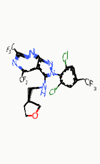 FC(F)(F)c1cc(Cl)c(-n2nc3nc(C(F)(F)F)nc(C(F)(F)F)c3c2NCC2CCOC2)c(Cl)c1